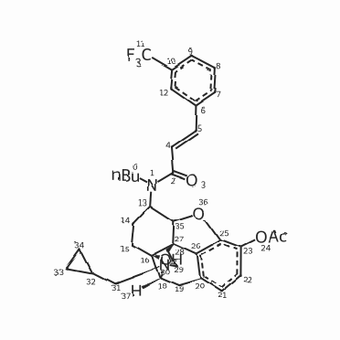 CCCCN(C(=O)/C=C/c1cccc(C(F)(F)F)c1)C1CC[C@@]2(O)[C@H]3Cc4ccc(OC(C)=O)c5c4[C@@]2(CCN3CC2CC2)C1O5